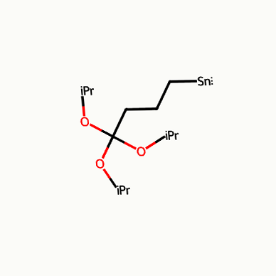 CC(C)OC(CC[CH2][Sn])(OC(C)C)OC(C)C